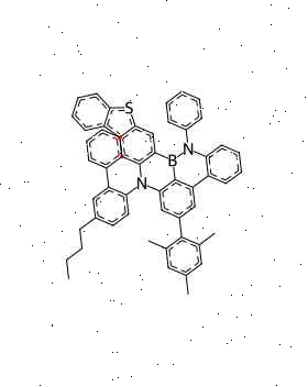 CCCCc1ccc(N2c3cc4c(cc3B3c5c(cc(-c6c(C)cc(C)cc6C)cc52)-c2ccccc2N3c2ccccc2)sc2ccccc24)c(-c2ccccc2)c1